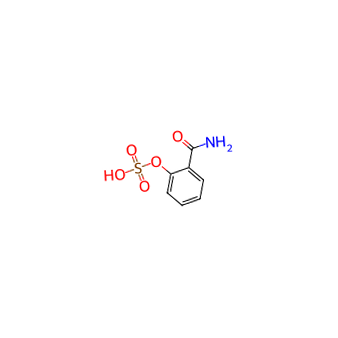 NC(=O)c1ccccc1OS(=O)(=O)O